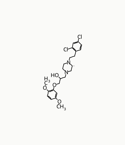 COc1ccc(OC)c(OCC(O)CN2C[CH]N(CCc3ccc(Cl)cc3Cl)CC2)c1